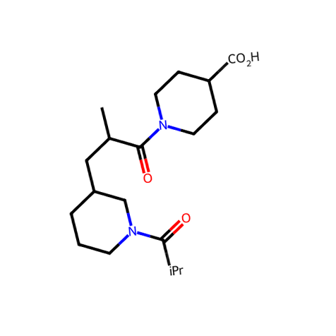 CC(C)C(=O)N1CCCC(CC(C)C(=O)N2CCC(C(=O)O)CC2)C1